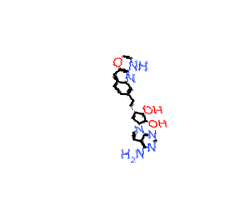 Nc1ncnc2c1ccn2[C@@H]1C[C@H](CCc2ccc3cc4c(nc3c2)NCCO4)[C@@H](O)[C@H]1O